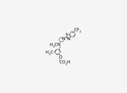 Cc1cc(CN(C)C2CCN(c3nc4ccc(C(F)(F)F)cc4s3)C2)cc(OCC(=O)O)c1